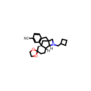 N#Cc1ccc2c(c1)[C@@]13CC4(CC[C@H]1[C@@H]1N(CC5CCC5)CC1(C2)C3)OCCO4